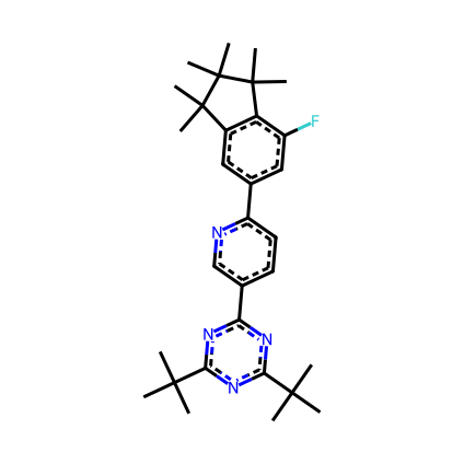 CC(C)(C)c1nc(-c2ccc(-c3cc(F)c4c(c3)C(C)(C)C(C)(C)C4(C)C)nc2)nc(C(C)(C)C)n1